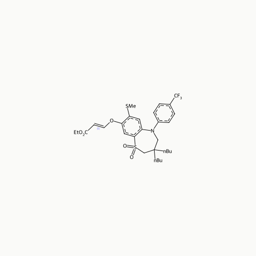 CCCCC1(CCCC)CN(c2ccc(C(F)(F)F)cc2)c2cc(SC)c(O/C=C/C(=O)OCC)cc2S(=O)(=O)C1